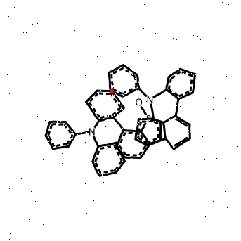 [O-][S+]1c2c(-c3ccccc3N(c3ccccc3)c3ccccc3)cccc2C2C=CC=C(c3ccccc3N(c3ccccc3)c3ccccc3)C21